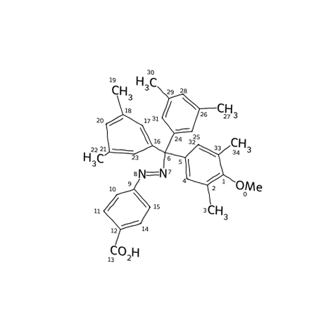 COc1c(C)cc(C(N=Nc2ccc(C(=O)O)cc2)(c2cc(C)cc(C)c2)c2cc(C)cc(C)c2)cc1C